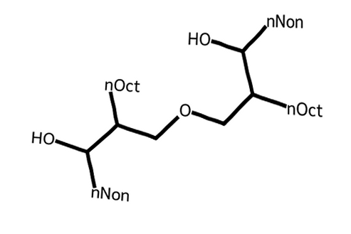 CCCCCCCCCC(O)C(CCCCCCCC)COCC(CCCCCCCC)C(O)CCCCCCCCC